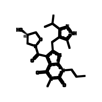 CCCn1c(=O)n(C)c(=O)c2c(C(=O)N3C[C@H](O)CO3)c(Cc3c(C(C)C)n[nH]c3C)sc21